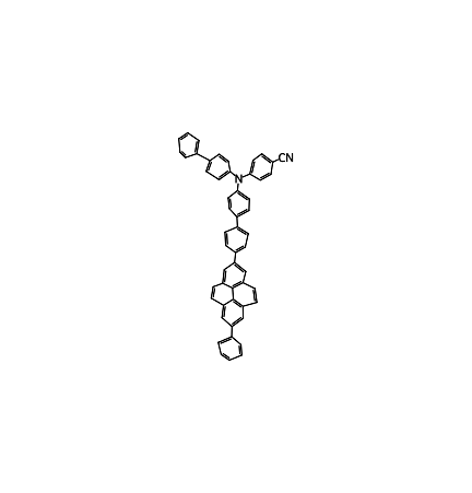 N#Cc1ccc(N(c2ccc(-c3ccccc3)cc2)c2ccc(-c3ccc(-c4cc5ccc6cc(-c7ccccc7)cc7ccc(c4)c5c67)cc3)cc2)cc1